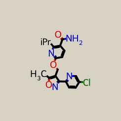 Cc1onc(-c2ccc(Cl)cn2)c1COc1ccc(C(N)=O)c(C(C)C)n1